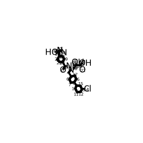 O=C(NN(Cc1ccc(-c2cccc(Cl)c2)cc1)C[C@@H](O)C(=O)O)c1ccc2c(c1)nnn2O